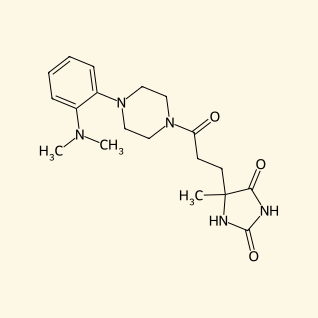 CN(C)c1ccccc1N1CCN(C(=O)CCC2(C)NC(=O)NC2=O)CC1